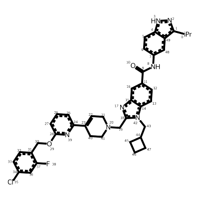 CC(C)c1n[nH]c2ccc(NC(=O)c3ccc4c(c3)nc(CN3CC=C(c5cccc(OCc6ccc(Cl)cc6F)n5)CC3)n4CC3CCC3)cc12